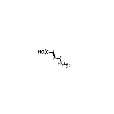 CC(=O)NCC=CC(=O)O